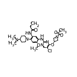 C=CC(=O)Nc1cc(Nc2ncc(Cl)c(OC3CN(S(C)(=O)=O)C3)n2)c(OC)cc1N1CCC(N(C)C)CC1